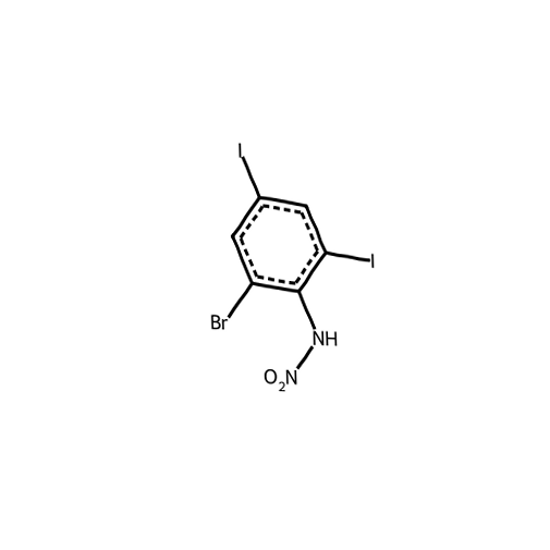 O=[N+]([O-])Nc1c(Br)cc(I)cc1I